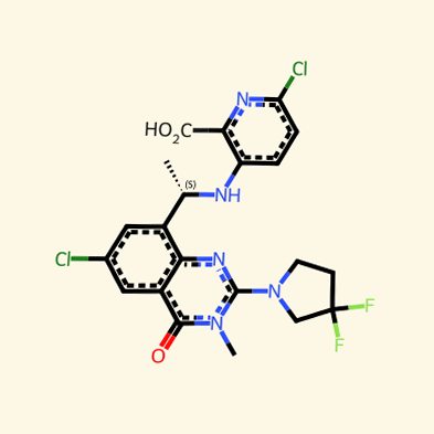 C[C@H](Nc1ccc(Cl)nc1C(=O)O)c1cc(Cl)cc2c(=O)n(C)c(N3CCC(F)(F)C3)nc12